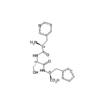 N[C@@H](Cc1cccnc1)C(=O)N[C@@H](CO)C(=O)N[C@@H](Cc1ccccc1)C(=O)O